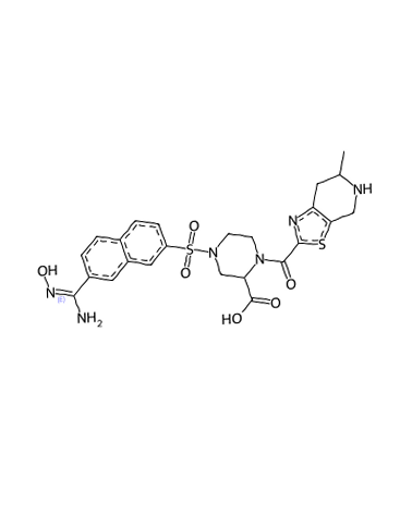 CC1Cc2nc(C(=O)N3CCN(S(=O)(=O)c4ccc5ccc(/C(N)=N\O)cc5c4)CC3C(=O)O)sc2CN1